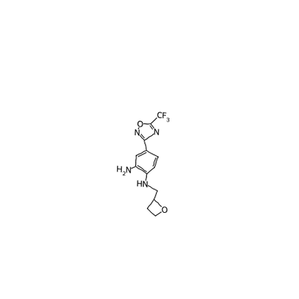 Nc1cc(-c2noc(C(F)(F)F)n2)ccc1NCC1CCO1